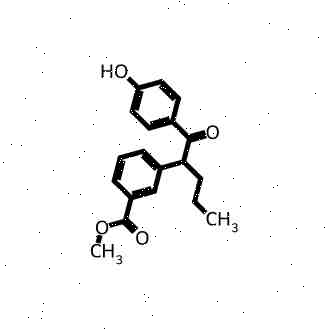 CCCC(C(=O)c1ccc(O)cc1)c1cccc(C(=O)OC)c1